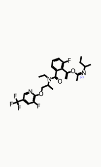 C=C(O/C(C)=N\C(C)CC)c1c(F)cccc1C(=O)N(CC)C(C)COc1ncc(C(F)(F)F)cc1F